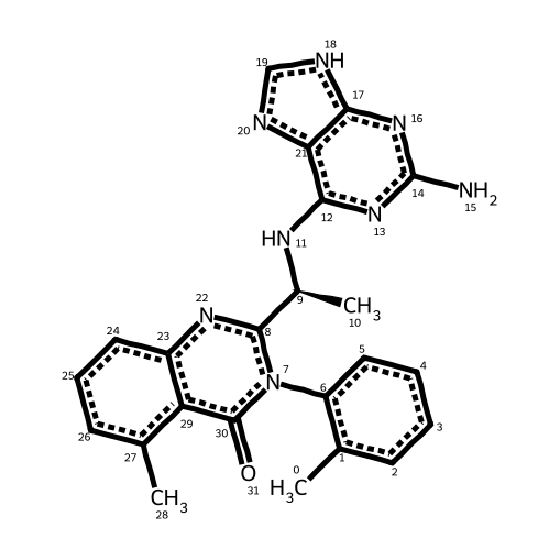 Cc1ccccc1-n1c([C@H](C)Nc2nc(N)nc3[nH]cnc23)nc2cccc(C)c2c1=O